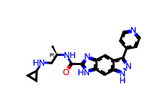 C[C@H](CNC1CC1)NC(=O)c1nc2cc3c(-c4ccncc4)n[nH]c3cc2[nH]1